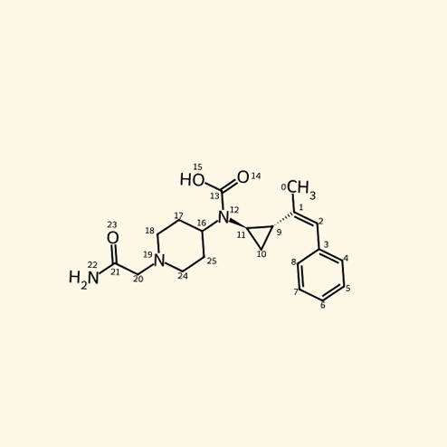 CC(=Cc1ccccc1)[C@@H]1C[C@H]1N(C(=O)O)C1CCN(CC(N)=O)CC1